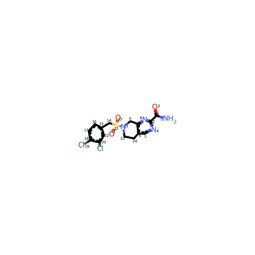 NC(=O)c1n[c]c2c(n1)CN(S(=O)(=O)Cc1ccc(Cl)c(Cl)c1)CC2